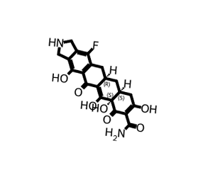 NC(=O)C1=C(O)C[C@@H]2C[C@@H]3Cc4c(F)c5c(c(O)c4C(=O)C3=C(O)[C@]2(O)C1=O)CNC5